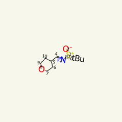 CC(C)(C)[S@@+]([O-])/N=C/C1CCOCC1